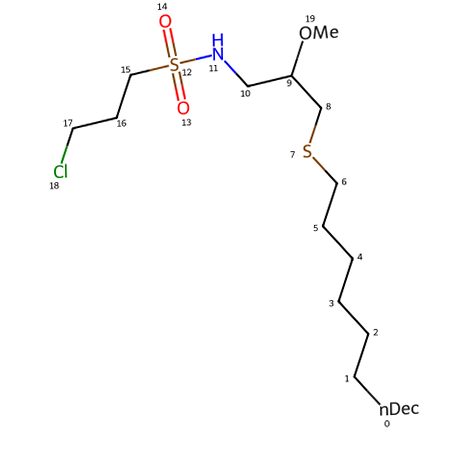 CCCCCCCCCCCCCCCCSCC(CNS(=O)(=O)CCCCl)OC